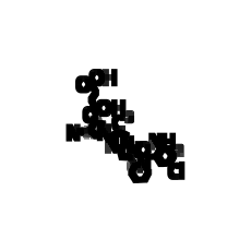 Cc1cn2nc([C@@H]3CCCCN3C(=O)c3cc(Cl)ccc3N)cc2nc1N1C[C@@H](C#N)[C@@H](OC(=O)CCC(=O)O)C1